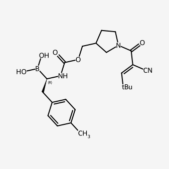 Cc1ccc(C[C@H](NC(=O)OCC2CCN(C(=O)C(C#N)=CC(C)(C)C)C2)B(O)O)cc1